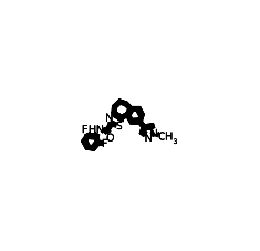 Cn1cc(-c2ccc3c(c2)-c2sc(C(=O)Nc4c(F)cccc4F)nc2CCC3)cn1